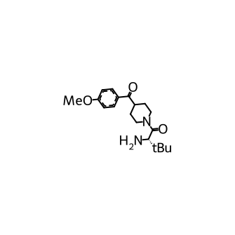 COc1ccc(C(=O)C2CCN(C(=O)[C@@H](N)C(C)(C)C)CC2)cc1